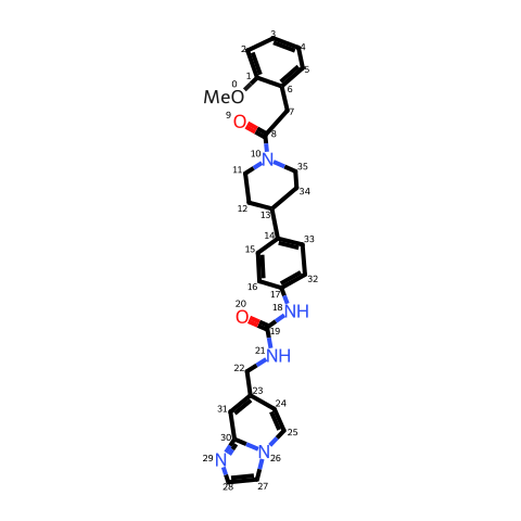 COc1ccccc1CC(=O)N1CCC(c2ccc(NC(=O)NCc3ccn4ccnc4c3)cc2)CC1